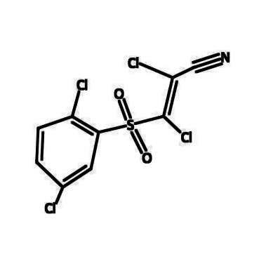 N#CC(Cl)=C(Cl)S(=O)(=O)c1cc(Cl)ccc1Cl